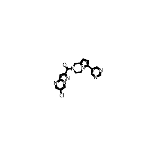 O=C(c1cc2ncc(Cl)cn2n1)N1CCn2c(ccc2-c2cncnc2)C1